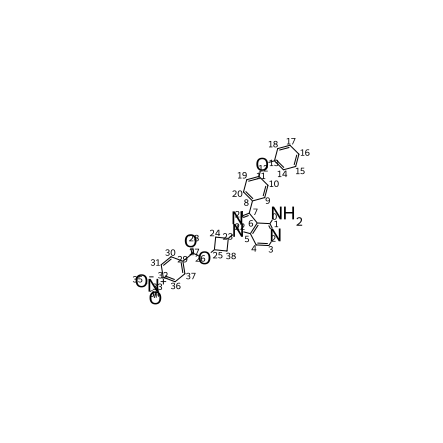 Nc1nccc2c1c(-c1ccc(Oc3ccccc3)cc1)nn2C1CC(OC(=O)c2ccc([N+](=O)[O-])cc2)C1